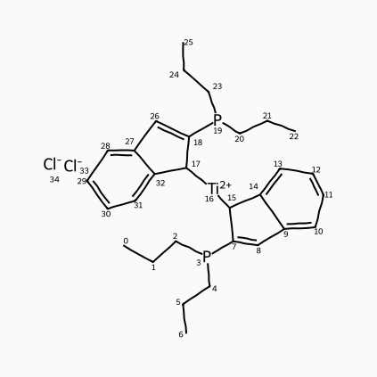 CCCP(CCC)C1=Cc2ccccc2[CH]1[Ti+2][CH]1C(P(CCC)CCC)=Cc2ccccc21.[Cl-].[Cl-]